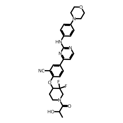 CC(O)C(=O)N1CCC(Oc2ccc(-c3ccnc(Nc4ccc(N5CCOCC5)cc4)n3)cc2C#N)C(F)(F)C1